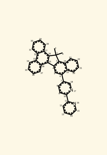 CC1(C)c2c(cc(-c3ccc(-c4ccccn4)nc3)c3ccccc23)-c2c1c1ccccc1c1ccccc21